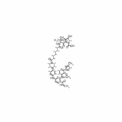 CNC(=O)c1nnc(Nc2ccc(N3CCN(C(=O)CCCCCCC(=O)NC(C(=O)N4C[C@H](O)C[C@H]4C(=O)O)C(C)(C)C)CC3)cn2)cc1Nc1cccc(-c2ncn(C)n2)c1OC